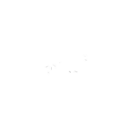 CC(/C=C/[C@@H]1C[C@@]2(CO2)C[C@@H](CC(N)=O)O1)=C\C[C@@H]1O[C@H](C)[C@H](NC(=O)/C=C\C(C)N)C[C@@H]1C